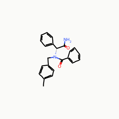 Cc1ccc(CN(C(=O)c2ccccc2)[C@@H](C(N)=O)c2ccccc2)cc1